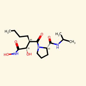 CCCC[C@@H](C(=O)N1CCC[C@H]1C(=O)NC(C)C)[C@H](O)C(=O)NO